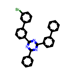 Brc1cccc(-c2cccc(-c3nc(-c4ccccc4)nc(-c4cccc(-c5ccccc5)c4)n3)c2)c1